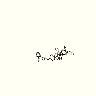 O=C(NCC1(O)CCC(CCOc2ccccc2F)CC1)c1ccc(O)c(F)c1